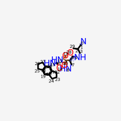 N#CC1CN/C(=C(\C=N)S(=O)(=O)NC(=O)Nc2c3c(cc4c2CCC4)CCC3)OC1